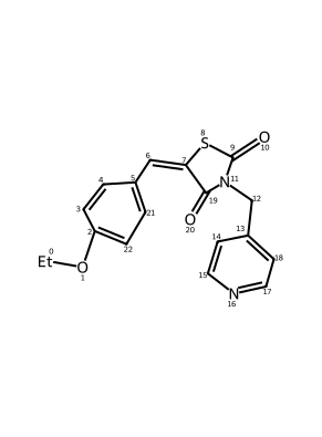 CCOc1ccc(C=C2SC(=O)N(Cc3ccncc3)C2=O)cc1